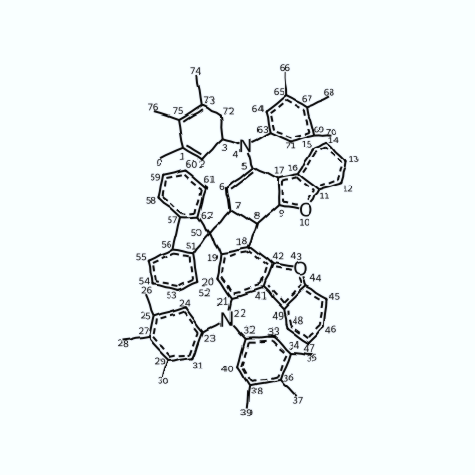 CC1=CC(N(C2=CC3C(c4oc5ccccc5c42)c2c(cc(N(c4cc(C)c(C)c(C)c4)c4cc(C)c(C)c(C)c4)c4c2oc2ccccc24)C32c3ccccc3-c3ccccc32)c2cc(C)c(C)c(C)c2)CC(C)=C1C